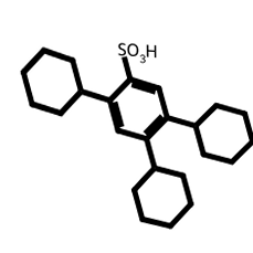 O=S(=O)(O)c1cc(C2CCCCC2)c(C2CCCCC2)cc1C1CCCCC1